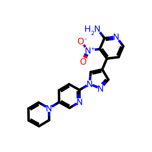 Nc1nccc(-c2cnn(-c3ccc(N4C=CC=CC4)cn3)c2)c1[N+](=O)[O-]